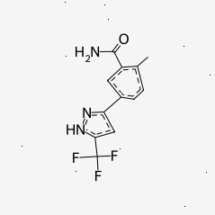 Cc1ccc(-c2cc(C(F)(F)F)[nH]n2)cc1C(N)=O